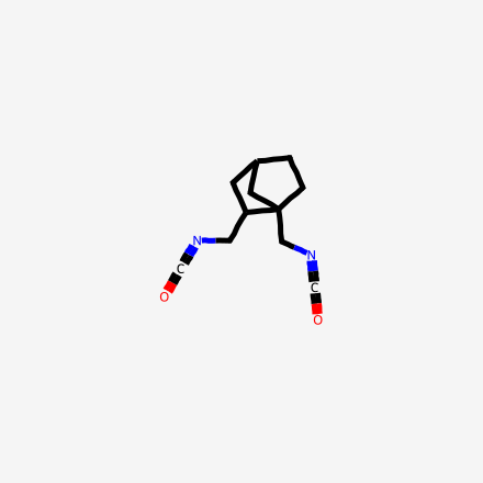 O=C=NCC1CC2CCC1(CN=C=O)C2